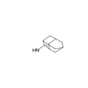 [NH]C1=C2CC3CC(C2)CC1C3